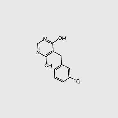 Oc1ncnc(O)c1Cc1cccc(Cl)c1